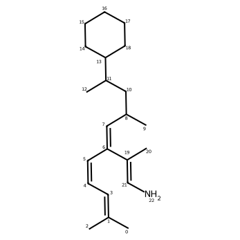 CC(C)=C\C=C/C(=C/C(C)CC(C)C1CCCCC1)C(/C)=C/N